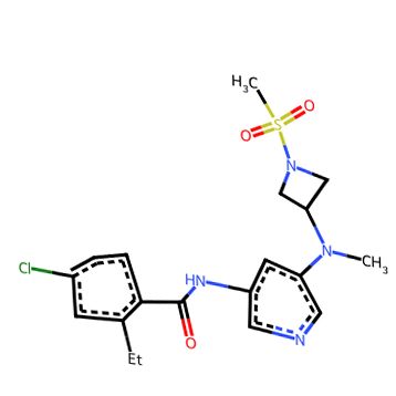 CCc1cc(Cl)ccc1C(=O)Nc1cncc(N(C)C2CN(S(C)(=O)=O)C2)c1